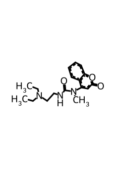 CCN(CC)CCNC(=O)N(C)c1cc(=O)oc2ccccc12